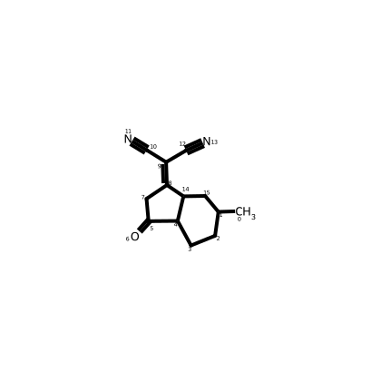 CC1CCC2C(=O)CC(=C(C#N)C#N)C2C1